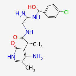 Cc1c[nH]c(=O)c(C(C)C(=O)NCC(N)NC(O)c2ccc(Cl)cc2)c1N